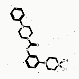 O=C(Oc1cccc(N2CCS(O)(O)CC2)c1)N1CCN(c2ccccc2)CC1